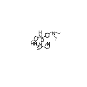 CCCN(CCC)Cc1ccc(C(=O)Nc2ccc(C)c(Nc3nc(-c4cccnc4)cs3)c2)cc1